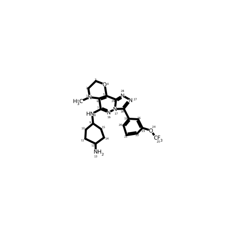 CN1CCOc2c1c(NC1CCC(N)CC1)nn1c(-c3cccc(OC(F)(F)F)c3)nnc21